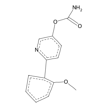 COc1ccccc1-c1ccc(OC(N)=O)cn1